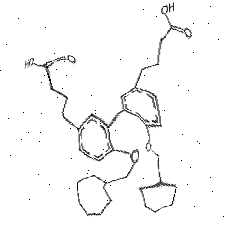 O=C(O)CCCc1ccc(OCC2CCCCC2)c(-c2cc(CCCC(=O)O)ccc2OCC2CCCCC2)c1